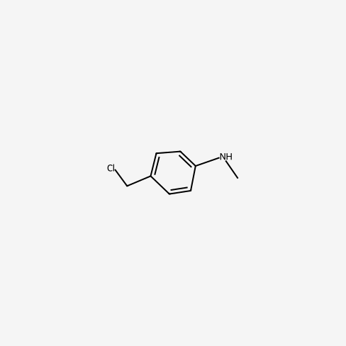 CNc1ccc(CCl)cc1